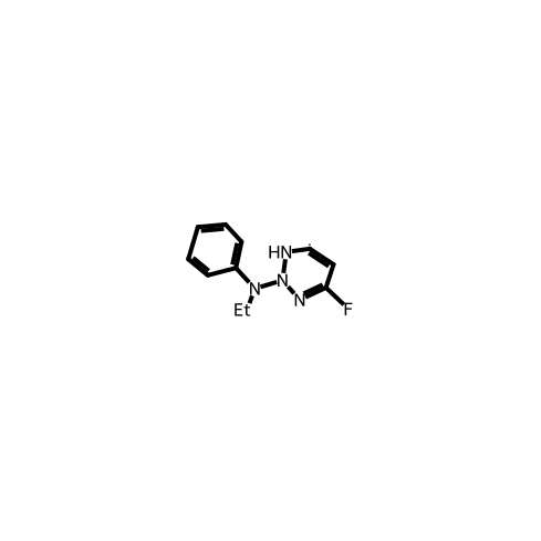 CCN(c1ccccc1)N1N=C(F)C=[C]N1